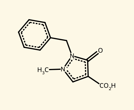 Cn1cc(C(=O)O)c(=O)n1Cc1ccccc1